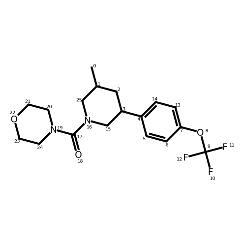 CC1CC(c2ccc(OC(F)(F)F)cc2)CN(C(=O)N2CCOCC2)C1